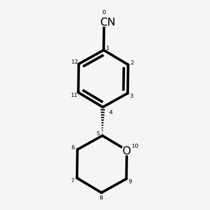 N#Cc1ccc([C@H]2CCCCO2)cc1